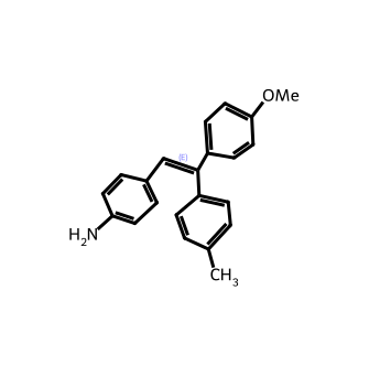 COc1ccc(/C(=C/c2ccc(N)cc2)c2ccc(C)cc2)cc1